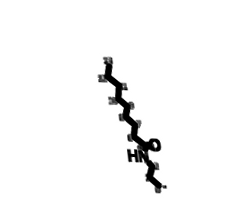 [CH2]CCNC(=O)CCCCCCCC